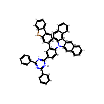 c1ccc(-c2nc(-c3ccccc3)nc(-c3ccc(-n4c5cc6ccccc6cc5c5c6ccccc6ccc54)c(-c4ccc5c(c4)sc4ccccc45)c3)n2)cc1